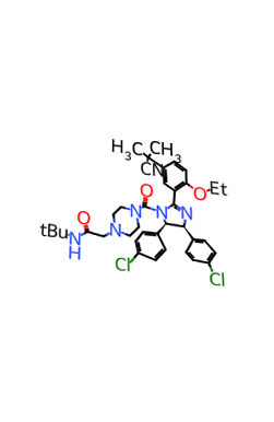 CCOc1ccc(C(C)(C)C#N)cc1C1=N[C@@H](c2ccc(Cl)cc2)[C@@H](c2ccc(Cl)cc2)N1C(=O)N1CCN(CC(=O)NC(C)(C)C)CC1